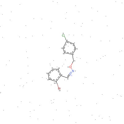 Clc1ccc(CO/N=[C]\c2ccccc2Br)cc1